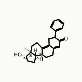 C[C@]12CCC3=C4CC(c5ccccc5)C(=O)C=C4CC[C@H]3[C@@H]1CC[C@@H]2O